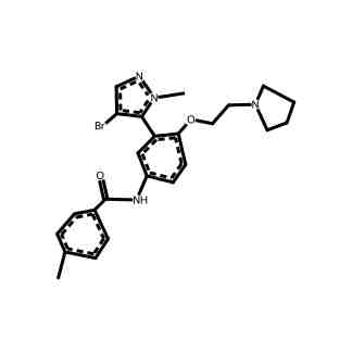 Cc1ccc(C(=O)Nc2ccc(OCCN3CCCC3)c(-c3c(Br)cnn3C)c2)cc1